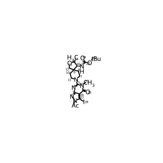 CC(=O)n1nc2nc(N3CCC4(CC3)CO[C@@H](C)[C@H]4NC(=O)OC(C)(C)C)n(C)c(=O)c2c1I